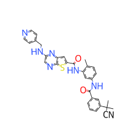 Cc1ccc(NC(=O)c2cccc(C(C)(C)C#N)c2)cc1NC(=O)c1cc2nc(NCc3ccncc3)cnc2s1